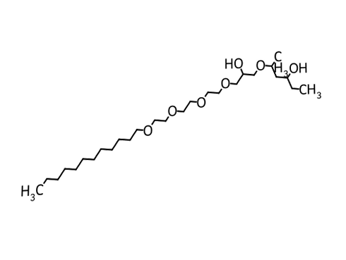 CCCCCCCCCCCCOCCOCCOCCOCC(O)COC(C)CC(O)CC